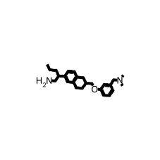 CCCC(CN)c1ccc2c(c1)CCC(COc1cccc(CN(C)C)c1)C2